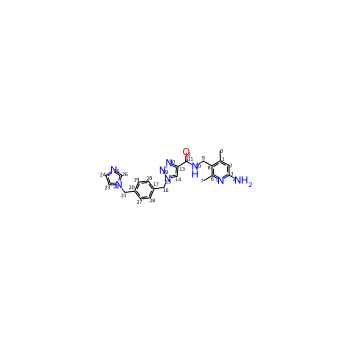 Cc1cc(N)nc(C)c1CNC(=O)c1cn(Cc2ccc(Cn3ccnc3)cc2)nn1